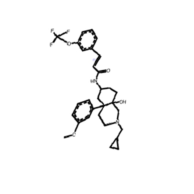 COc1cccc(C23CCN(CC4CC4)CC2(O)CCC(NC(=O)/C=C/c2cccc(OC(F)(F)F)c2)C3)c1